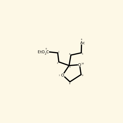 CCOC(=O)CCC1(CCC(C)=O)OCCO1